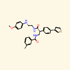 COc1ccc(NCCNC(=O)C(CNC(=O)c2cccc(C)c2)c2ccc(-c3ccsc3)cc2)cc1